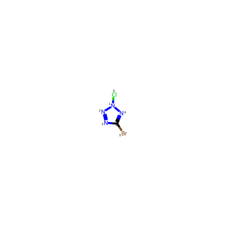 Cln1nnc(Br)n1